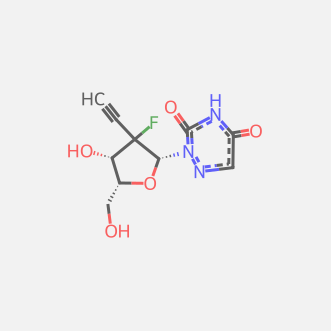 C#CC1(F)[C@@H](O)[C@@H](CO)O[C@H]1n1ncc(=O)[nH]c1=O